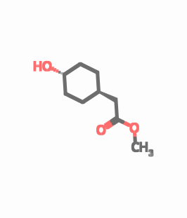 COC(=O)C[C@H]1CC[C@H](O)CC1